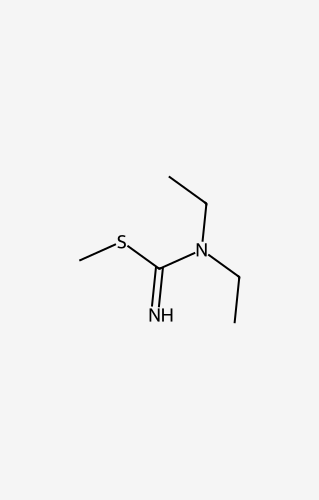 CCN(CC)C(=N)SC